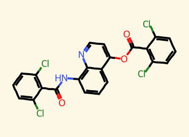 O=C(Nc1cccc2c(OC(=O)c3c(Cl)cccc3Cl)ccnc12)c1c(Cl)cccc1Cl